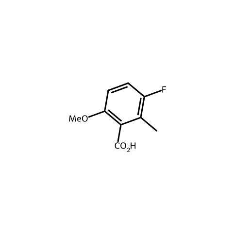 COc1ccc(F)c(C)c1C(=O)O